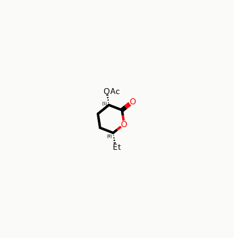 CC[C@@H]1CC[C@H](OC(C)=O)C(=O)O1